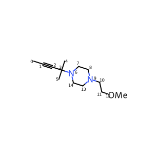 CC#CC(C)(C)N1CCN(CCOC)CC1